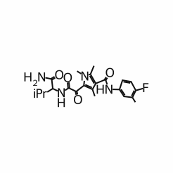 Cc1cc(NC(=O)c2c(C)c(C(=O)C(=O)NC(C(N)=O)C(C)C)n(C)c2C)ccc1F